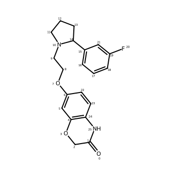 O=C1COc2cc(OCCN3CCCC3c3cccc(F)c3)ccc2N1